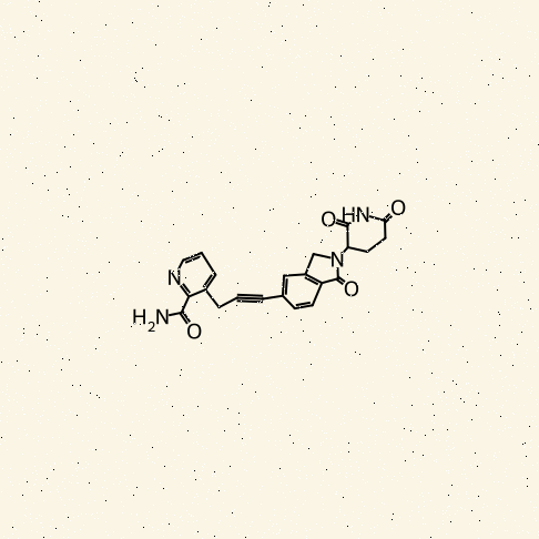 NC(=O)c1ncccc1CC#Cc1ccc2c(c1)CN(C1CCC(=O)NC1=O)C2=O